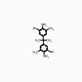 Cc1cc(C(C)(C)c2cc(C)c(N)c(C(C)C)c2)cc(C(C)C)c1N